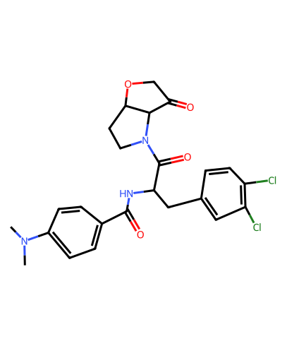 CN(C)c1ccc(C(=O)NC(Cc2ccc(Cl)c(Cl)c2)C(=O)N2CCC3OCC(=O)C32)cc1